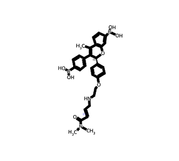 CC1=C(c2ccc(B(O)O)cc2)[C@H](c2ccc(OCCNC/C=C/C(=O)N(C)C)cc2)Oc2cc(B(O)O)ccc21